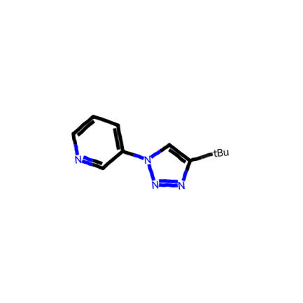 CC(C)(C)c1cn(-c2cccnc2)nn1